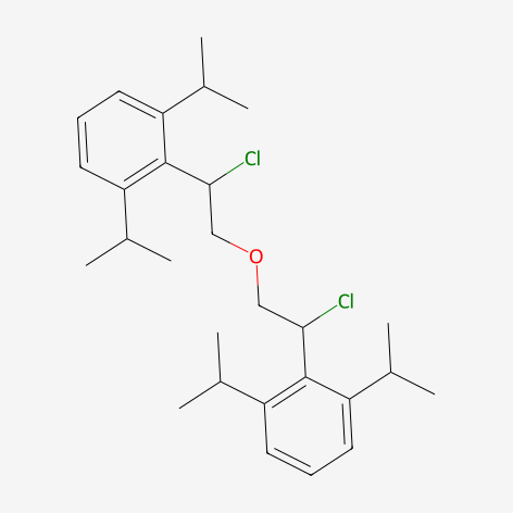 CC(C)c1cccc(C(C)C)c1C(Cl)COCC(Cl)c1c(C(C)C)cccc1C(C)C